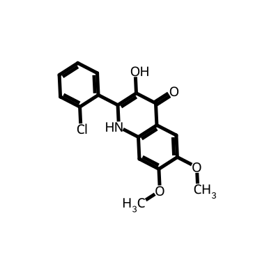 COc1cc2[nH]c(-c3ccccc3Cl)c(O)c(=O)c2cc1OC